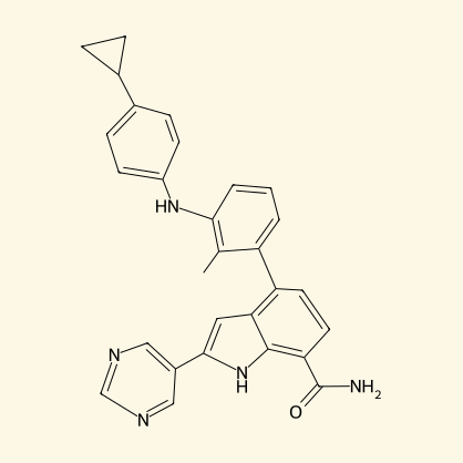 Cc1c(Nc2ccc(C3CC3)cc2)cccc1-c1ccc(C(N)=O)c2[nH]c(-c3cncnc3)cc12